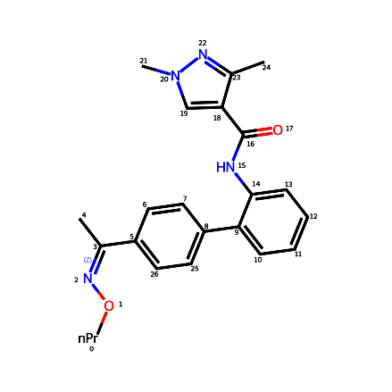 CCCO/N=C(/C)c1ccc(-c2ccccc2NC(=O)c2cn(C)nc2C)cc1